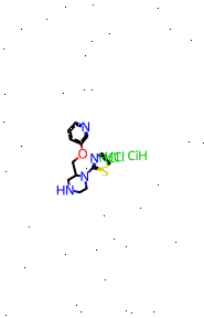 Cl.Cl.Cl.c1cncc(OCC2CNCCN2c2nccs2)c1